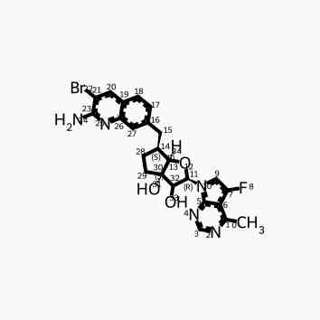 Cc1ncnc2c1c(F)cn2[C@@H]1O[C@@H]2[C@H](Cc3ccc4cc(Br)c(N)nc4c3)CC[C@]2(O)C1O